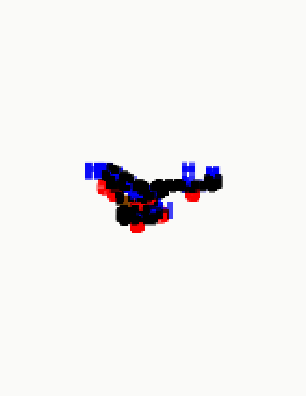 O=C(/C=C/c1cccnc1)NCCCCC1CCN(C(=O)c2ccc(N3CCC(N4CCNCC4C(=O)COCCSc4cccc5c4C(=O)N(C4CCC(=O)NC4=O)C5=O)CC3)nn2)CC1